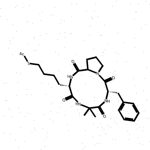 CC(=O)SCCCC[C@@H]1NC(=O)C2CCCN2C(=O)[C@H](Cc2ccccc2)NC(=O)C(C)(C)NC1=O